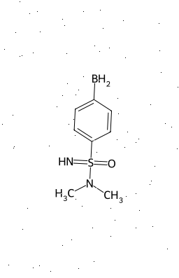 Bc1ccc(S(=N)(=O)N(C)C)cc1